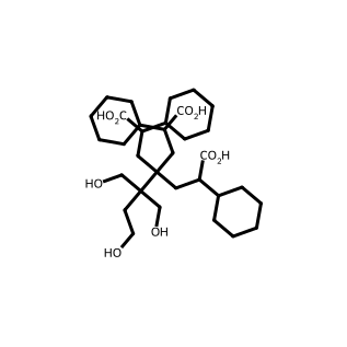 O=C(O)C(CC(CC(C(=O)O)C1CCCCC1)(CC(C(=O)O)C1CCCCC1)C(CO)(CO)CCO)C1CCCCC1